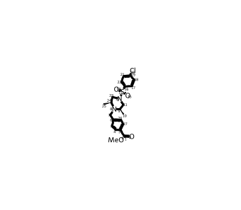 COC(=O)c1ccc(CN2[C@H](C)CN(S(=O)(=O)c3ccc(Cl)cc3)C[C@@H]2C)cc1